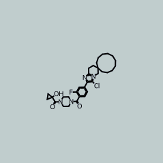 O=C(c1ccc(-c2nc3n(c2Cl)CC2(CCCCCCCCCC2)CC3)cc1F)N1CCN(C(=O)C2(O)CC2)CC1